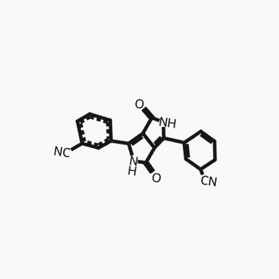 N#Cc1cccc(C2=C3C(=O)NC(C4=CC(C#N)CC=C4)=C3C(=O)N2)c1